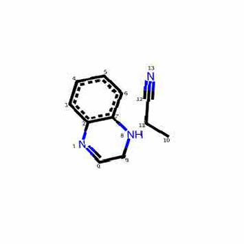 C1=Nc2ccccc2NC1.CCC#N